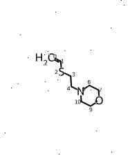 C=CSCCN1CCOCC1